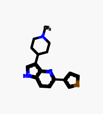 CN1CCC(c2c[nH]c3ccc(-c4ccsc4)nc23)CC1